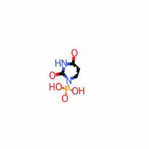 O=c1ccn(P(=O)(O)O)c(=O)[nH]1